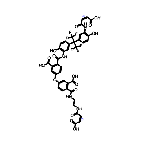 O=C(O)/C=C\C(=O)NCCNC(=O)c1ccc(Oc2ccc(C(=O)Nc3cc(C(c4ccc(O)c(NC(=O)/C=C\C(=O)O)c4)(C(F)(F)F)C(F)(F)F)ccc3O)c(C(=O)O)c2)cc1C(=O)O